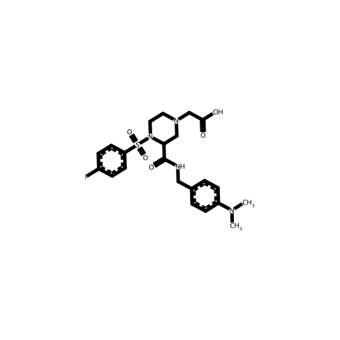 CN(C)c1ccc(CNC(=O)C2CN(CC(=O)O)CCN2S(=O)(=O)c2ccc(I)cc2)cc1